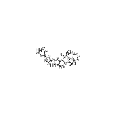 Cn1c(=O)n(-c2c(Cl)cccc2Cl)c(=O)c2cnc3[nH]c(-c4cnn(C5CCNCC5)c4)cc3c21